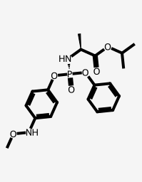 CONc1ccc(O[P@@](=O)(N[C@@H](C)C(=O)OC(C)C)Oc2ccccc2)cc1